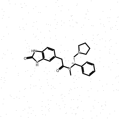 CN(C(=O)Cc1ccc2[nH]c(=O)[nH]c2c1)[C@H](CN1CCCC1)c1ccccc1